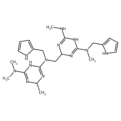 CNC1=NC(CN(Cc2ccc[nH]2)C2=NC(C)N=C(N(C)C)N2)N=C(N(C)Cc2ccc[nH]2)N1